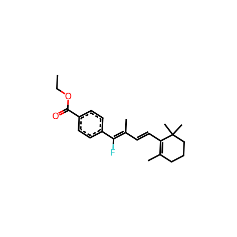 CCOC(=O)c1ccc(/C(F)=C(C)/C=C/C2=C(C)CCCC2(C)C)cc1